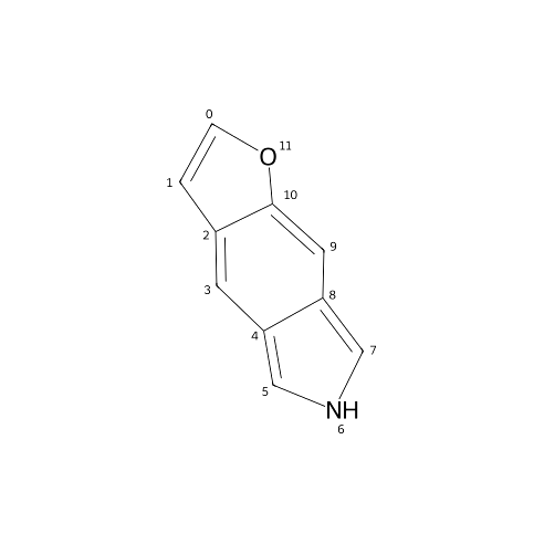 c1cc2cc3c[nH]cc3cc2o1